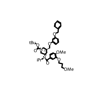 COCCCOc1cc(C(=O)N(C(C)C)[C@@H]2C[C@H](COc3cccc(OCc4ccccc4)c3)CN(C(=O)OC(C)(C)C)C2)ccc1OC